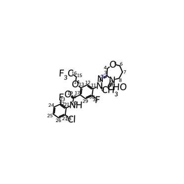 CN(/N=C1/COCCCN1C=O)c1cc(OCC(F)(F)F)c(C(=O)Nc2c(F)cccc2Cl)cc1F